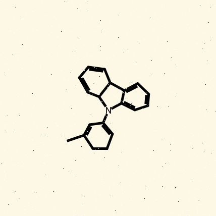 CC1=CC(N2c3ccccc3C3C=CC=CC32)=CCC1